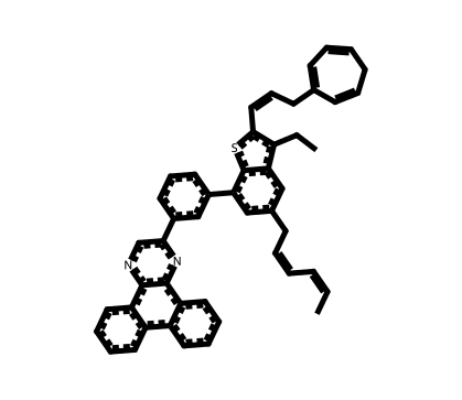 C/C=C\C=C/Cc1cc(-c2cccc(-c3cnc4c5ccccc5c5ccccc5c4n3)c2)c2sc(/C=C\CC3=CC=CCC=C3)c(CC)c2c1